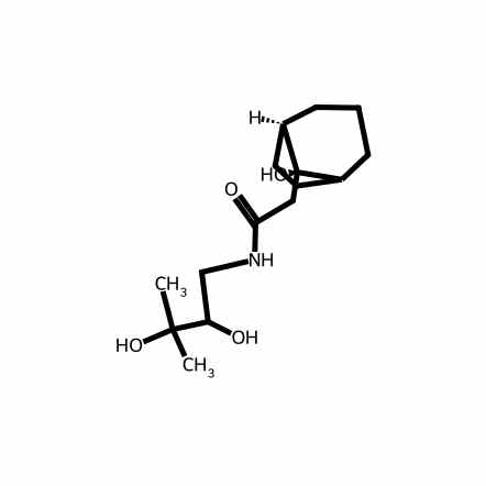 CC(C)(O)C(O)CNC(=O)C[C@@]1(O)C2CCC[C@@H]1CC2